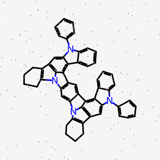 c1ccc(-n2c3ccccc3c3c4c5cc6c7c8c9ccccc9n(-c9ccccc9)c8cc8c9c(n(c6cc5n5c6c(c(cc32)c45)CCCC6)c87)CCCC9)cc1